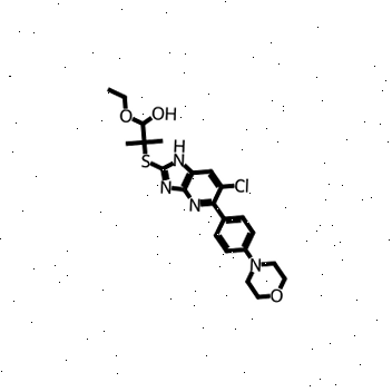 CCOC(O)C(C)(C)Sc1nc2nc(-c3ccc(N4CCOCC4)cc3)c(Cl)cc2[nH]1